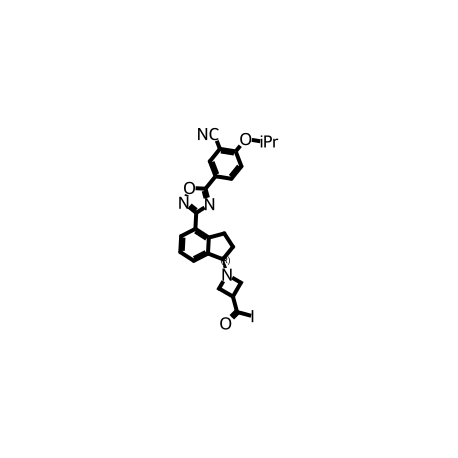 CC(C)Oc1ccc(-c2nc(-c3cccc4c3CC[C@H]4N3CC(C(=O)I)C3)no2)cc1C#N